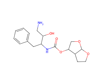 NCC(O)C(Cc1ccccc1)NC(=O)OC1COC2OCCC12